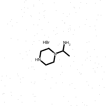 Br.CC(N)N1CCNCC1